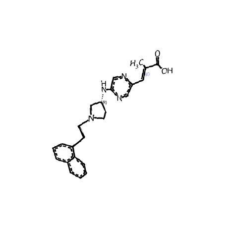 C/C(=C\c1cnc(N[C@@H]2CCN(CCc3cccc4ccccc34)C2)cn1)C(=O)O